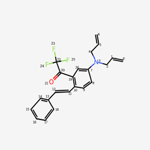 C=CCN(CC=C)c1ccc(/C=C/c2ccccc2)c(C(=O)C(F)(F)F)c1